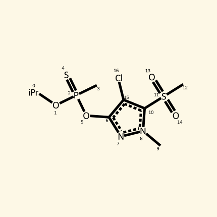 CC(C)OP(C)(=S)Oc1nn(C)c(S(C)(=O)=O)c1Cl